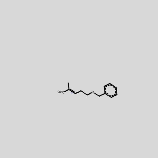 C/C(C=O)=C\CCOCc1ccccc1